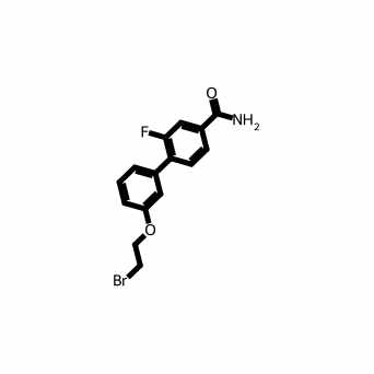 NC(=O)c1ccc(-c2cccc(OCCBr)c2)c(F)c1